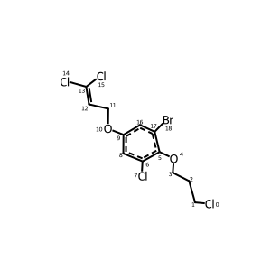 ClCCCOc1c(Cl)cc(OCC=C(Cl)Cl)cc1Br